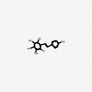 CC(=O)c1c(O)c(C(C)=O)c(C=Cc2ccc(O)cc2)c(C(C)=O)c1O